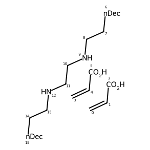 C=CC(=O)O.C=CC(=O)O.CCCCCCCCCCCCNCCNCCCCCCCCCCCC